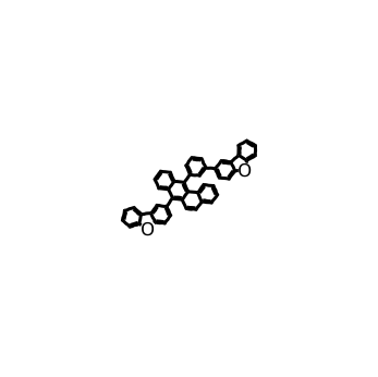 c1cc(-c2ccc3oc4ccccc4c3c2)cc(-c2c3ccccc3c(-c3ccc4oc5ccccc5c4c3)c3ccc4ccccc4c23)c1